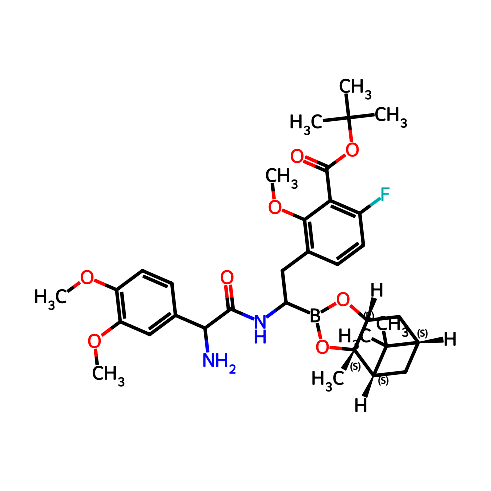 COc1ccc(C(N)C(=O)NC(Cc2ccc(F)c(C(=O)OC(C)(C)C)c2OC)B2O[C@@H]3C[C@@H]4C[C@@H](C4(C)C)[C@]3(C)O2)cc1OC